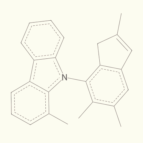 CC1=Cc2cc(C)c(C)c(-n3c4ccccc4c4cccc(C)c43)c2C1